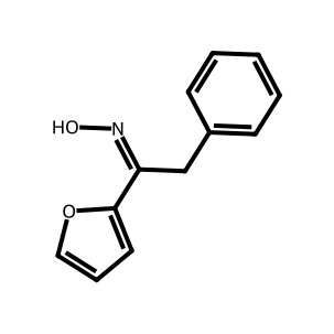 ON=C(Cc1ccccc1)c1ccco1